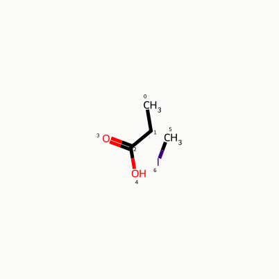 CCC(=O)O.CI